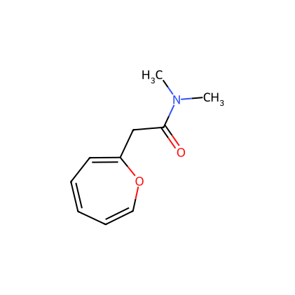 CN(C)C(=O)CC1=CC=CC=CO1